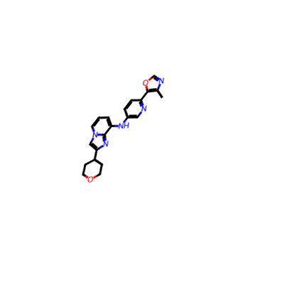 Cc1ncoc1-c1ccc(Nc2cccn3cc(C4CCOCC4)nc23)cn1